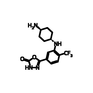 N[C@H]1CC[C@H](Nc2cc(-c3n[nH]c(=O)o3)ccc2C(F)(F)F)CC1